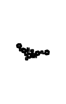 Cc1c2c(=O)n(-c3ccc(OCc4ccccc4)cc3)[nH]c2cc(=O)n1Cc1cccc(Oc2ccccc2)c1